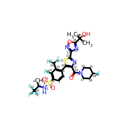 CC(NS(=O)(=O)c1ccc(-c2sc(-c3noc(C(C)(C)O)n3)nc2C(=O)N2CCC(F)CC2)c(C(F)F)c1F)C(F)(F)F